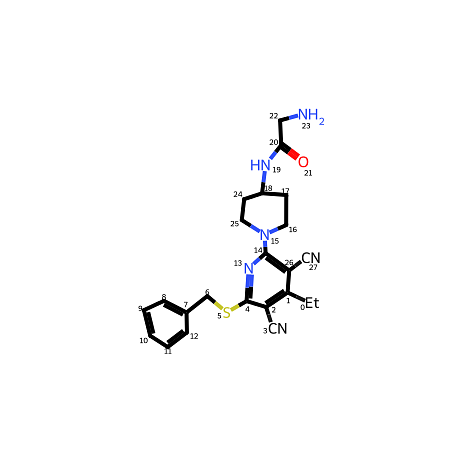 CCc1c(C#N)c(SCc2ccccc2)nc(N2CCC(NC(=O)CN)CC2)c1C#N